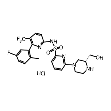 Cc1ccc(F)cc1-c1nc(NS(=O)(=O)c2cccc(N3CCN[C@@H](CO)C3)n2)ccc1C(F)(F)F.Cl